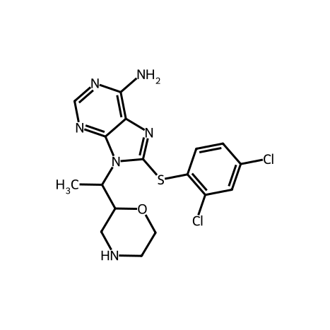 CC(C1CNCCO1)n1c(Sc2ccc(Cl)cc2Cl)nc2c(N)ncnc21